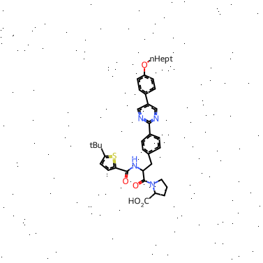 CCCCCCCOc1ccc(-c2cnc(-c3ccc(CC(NC(=O)c4ccc(C(C)(C)C)s4)C(=O)N4CCCC4C(=O)O)cc3)nc2)cc1